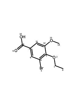 CCOc1c(Br)cc(C(=O)O)cc1OC